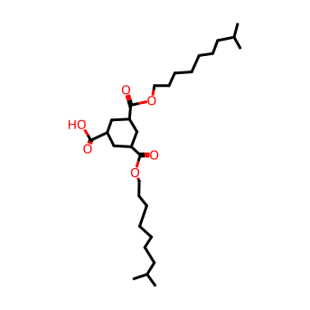 CC(C)CCCCCCCOC(=O)C1CC(C(=O)O)CC(C(=O)OCCCCCCCC(C)C)C1